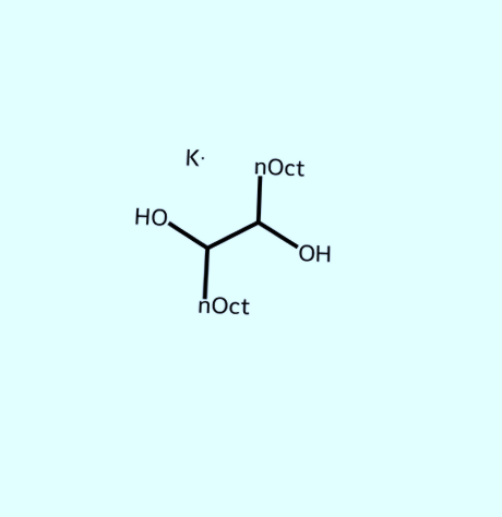 CCCCCCCCC(O)C(O)CCCCCCCC.[K]